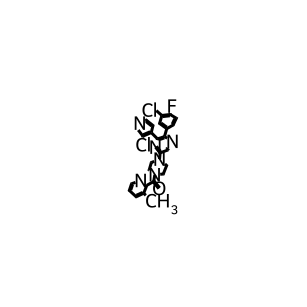 Cc1cccnc1C(=O)N1CCN(c2cnc(-c3ccc(F)c(Cl)c3)c(-c3ccncc3Cl)n2)CC1